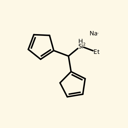 CC[SiH2]C(C1=CC=CC1)C1=CC=CC1.[Na]